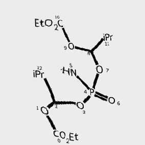 CCOC(=O)OC(OP([NH])(=O)OC(OC(=O)OCC)C(C)C)C(C)C